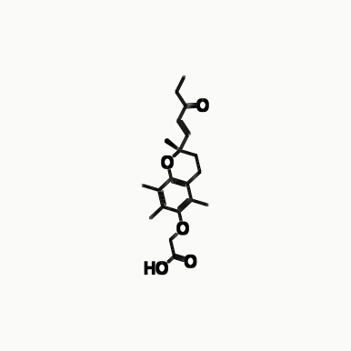 CCC(=O)/C=C/[C@]1(C)CCc2c(C)c(OCC(=O)O)c(C)c(C)c2O1